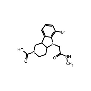 CNC(=O)CN1c2c(Br)cccc2C2CN(C(=O)O)CCC21